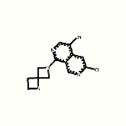 CC(C)c1cnc(N2CC3(CCS3)C2)c2cnc(Cl)cc12